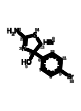 Br.NC1=NC(O)(c2ccc(Br)cc2)CS1